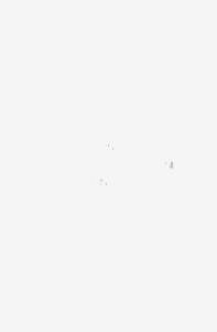 c1cc(-c2nc3c([nH]2)CCNC3)cs1